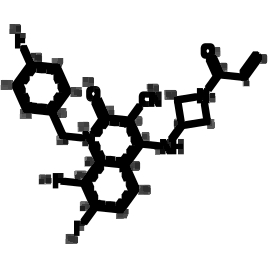 C=CC(=O)N1CC(Nc2c(C#N)c(=O)n(Cc3ccc(F)cc3)c3c(F)c(F)ccc23)C1